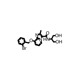 Cc1nc2c(OCc3ccccc3Br)cccn2c1C(=O)NC(CO)CO